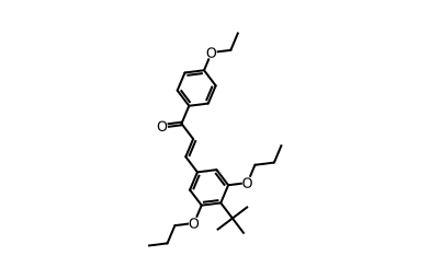 CCCOc1cc(C=CC(=O)c2ccc(OCC)cc2)cc(OCCC)c1C(C)(C)C